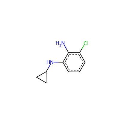 Nc1c(Cl)cccc1NC1CC1